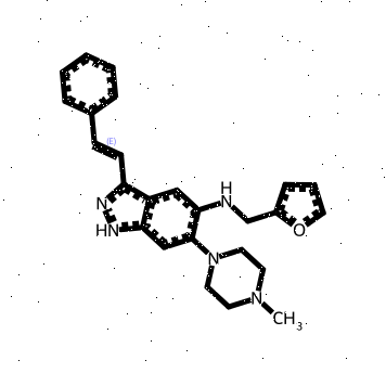 CN1CCN(c2cc3[nH]nc(/C=C/c4ccccc4)c3cc2NCc2ccco2)CC1